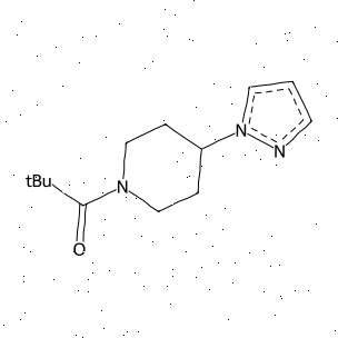 CC(C)(C)C(=O)N1CCC(n2cccn2)CC1